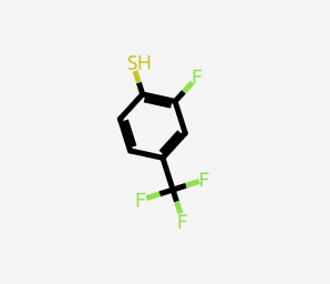 Fc1cc(C(F)(F)F)ccc1S